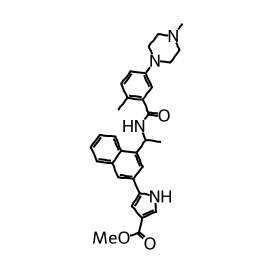 COC(=O)c1c[nH]c(-c2cc(C(C)NC(=O)c3cc(N4CCN(C)CC4)ccc3C)c3ccccc3c2)c1